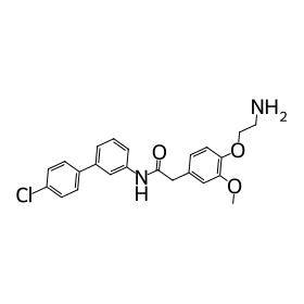 COc1cc(CC(=O)Nc2cccc(-c3ccc(Cl)cc3)c2)ccc1OCCN